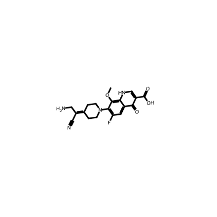 COc1c(N2CCC(=C(C#N)CN)CC2)c(F)cc2c(=O)c(C(=O)O)c[nH]c12